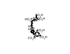 O=C(O)CCC(NC(=O)N[C@@H](CCCCNC(=S)Nc1ccc(CC2CN(CC(=O)O)CCN(CC(=O)O)CCN2CC(=O)O)cc1)C(=O)O)C(=O)O